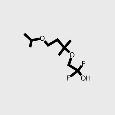 CC(C)OCCC(C)(C)OCC(O)(F)F